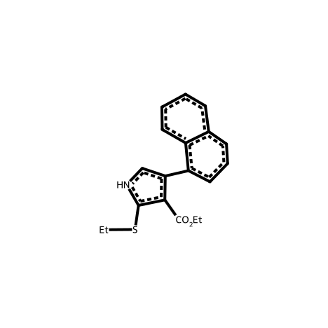 CCOC(=O)c1c(-c2cccc3ccccc23)c[nH]c1SCC